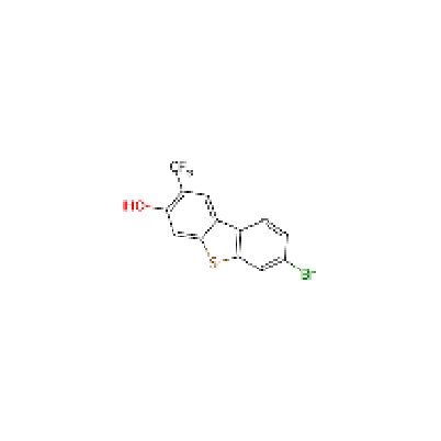 Oc1cc2sc3cc(Br)ccc3c2cc1C(F)(F)F